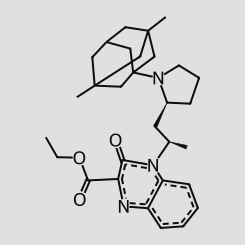 CCOC(=O)c1nc2ccccc2n([C@H](C)C[C@@H]2CCCN2C23CC4CC(C)(CC(C)(C4)C2)C3)c1=O